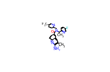 Cc1cc2cc(C(=O)N(Cc3ccc(C(F)(F)F)cn3)C(C)c3ccc(F)cn3)ccc2nc1N